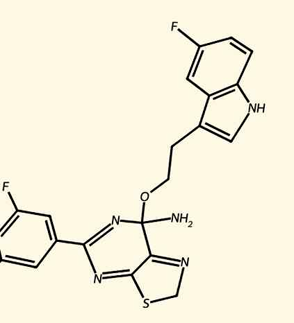 NC1(OCCc2c[nH]c3ccc(F)cc23)N=C(c2cc(F)cc(F)c2)N=C2SCN=C21